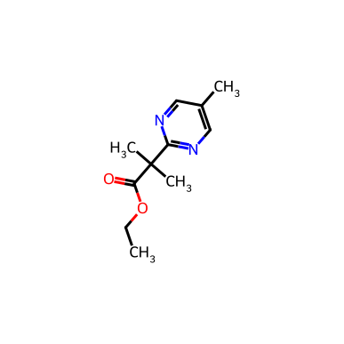 CCOC(=O)C(C)(C)c1ncc(C)cn1